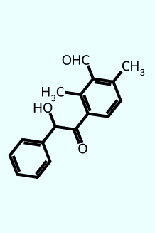 Cc1ccc(C(=O)C(O)c2ccccc2)c(C)c1C=O